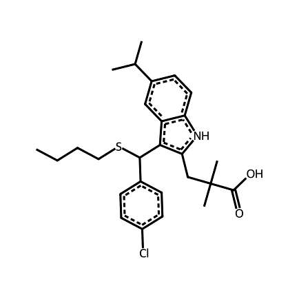 CCCCSC(c1ccc(Cl)cc1)c1c(CC(C)(C)C(=O)O)[nH]c2ccc(C(C)C)cc12